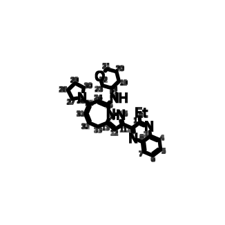 CCc1nc2ccccc2nc1-c1cc2n(n1)/C(N[C@H]1CCCOC1)=C\C(N1CCCC1)=C=CC2